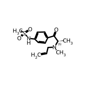 C=CCN(C)[C@@H](C)C(=O)c1ccc(NS(C)(=O)=O)cc1